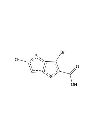 O=C(O)c1sc2cc(Cl)sc2c1Br